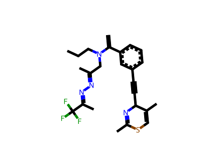 C=C(c1cccc(C#CC2N=C(C)SC=C2C)c1)N(CCC)C/C(C)=N/N=C(\C)C(F)(F)F